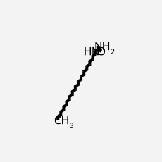 CCCCCCCCCCCCCCCCCCCCCCCCCCCNC(N)=O